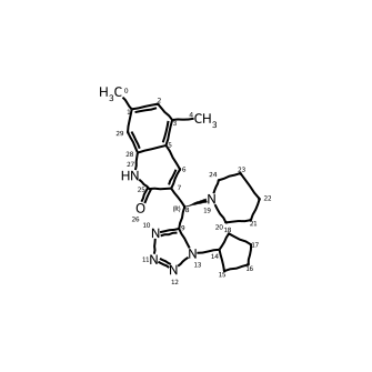 Cc1cc(C)c2cc([C@H](c3nnnn3C3CCCC3)N3CCCCC3)c(=O)[nH]c2c1